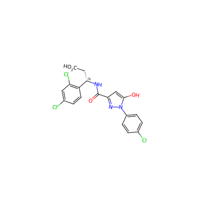 O=C(O)C[C@H](NC(=O)c1cc(O)n(-c2ccc(Cl)cc2)n1)c1ccc(Cl)cc1Cl